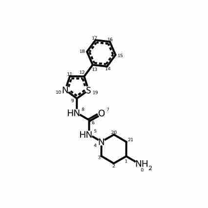 NC1CCN(NC(=O)Nc2ncc(-c3ccccc3)s2)CC1